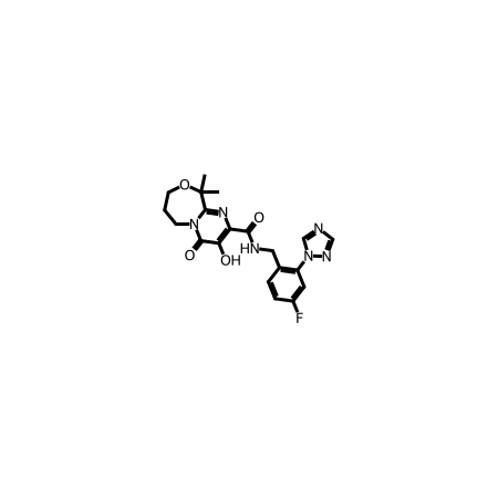 CC1(C)OCCCn2c1nc(C(=O)NCc1ccc(F)cc1-n1cncn1)c(O)c2=O